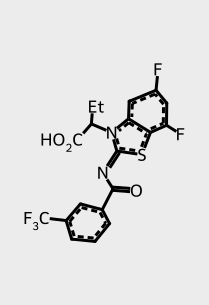 CCC(C(=O)O)n1c(=NC(=O)c2cccc(C(F)(F)F)c2)sc2c(F)cc(F)cc21